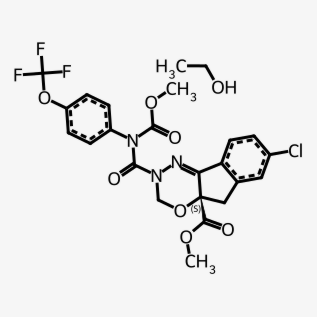 CCO.COC(=O)N(C(=O)N1CO[C@@]2(C(=O)OC)Cc3cc(Cl)ccc3C2=N1)c1ccc(OC(F)(F)F)cc1